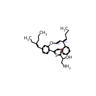 CCC/C=C(\C=C\Oc1cc(C=C(CC)CCC)ccc1-c1cnc(C(O)CN)s1)c1ccccc1